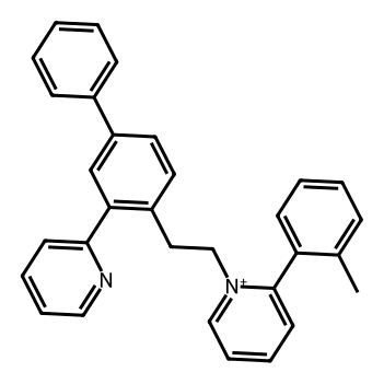 Cc1ccccc1-c1cccc[n+]1CCc1ccc(-c2ccccc2)cc1-c1ccccn1